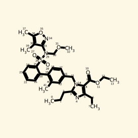 CCCc1nc(CC)c(C(=O)OCC)n1Cc1ccc(-c2ccccc2S(=O)(=O)N(COC)c2noc(C)c2C)c(C)c1